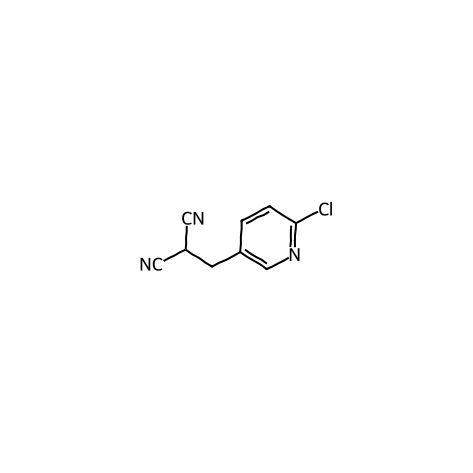 N#CC(C#N)Cc1ccc(Cl)nc1